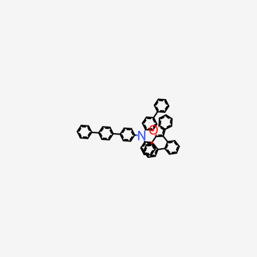 c1ccc(-c2ccc(-c3ccc(N(c4ccc(-c5ccccc5)cc4)c4ccccc4-c4oc5ccccc5c4-c4ccccc4-c4ccccc4)cc3)cc2)cc1